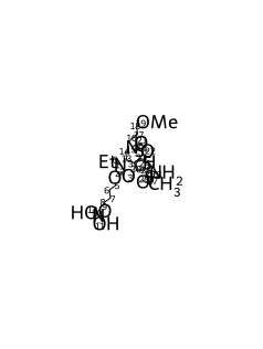 CCN(C(=O)OCCCCON(O)O)[C@H]1CN(CCCOC)S(=O)(=O)c2sc([SH](C)(N)=O)cc21